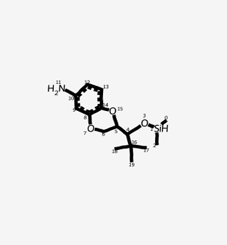 C[SiH](C)OC(C1COc2cc(N)ccc2O1)C(C)(C)C